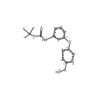 CC(C)(C)OC(=O)Nc1cccc(Oc2ccc(CO)nc2)c1